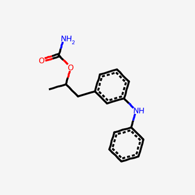 CC(Cc1cccc(Nc2ccccc2)c1)OC(N)=O